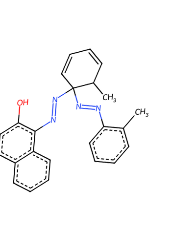 Cc1ccccc1N=NC1(N=Nc2c(O)ccc3ccccc23)C=CC=CC1C